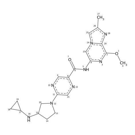 COc1nc(NC(=O)c2cnc(N3CCC(NC4CC4)C3)cn2)cn2cc(C)nc12